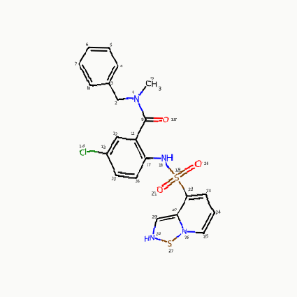 CN(Cc1ccccc1)C(=O)c1cc(Cl)ccc1NS(=O)(=O)C1=CC=CN2SNC=C12